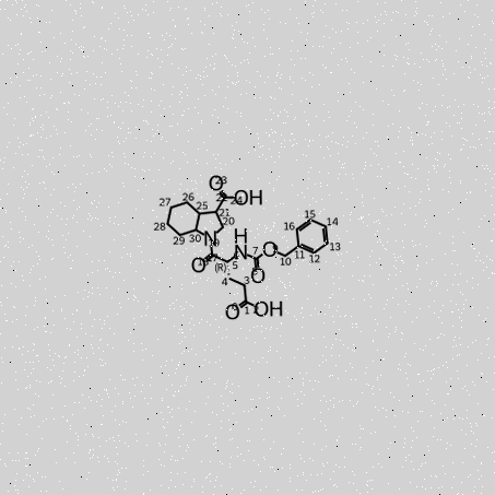 O=C(O)CC[C@@H](NC(=O)OCc1ccccc1)C(=O)N1CC(C(=O)O)C2CCCCC21